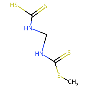 CSC(=S)NCNC(=S)S